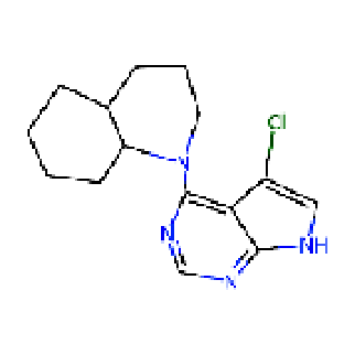 Clc1c[nH]c2ncnc(N3CCCC4CCCCC43)c12